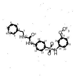 O=C(NCc1cccnc1)Nc1ccc(S(=O)(=O)Nc2cccc(OC(F)(F)F)c2)cc1